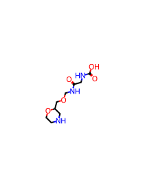 O=C(O)NCC(=O)NCOCC1CNCCO1